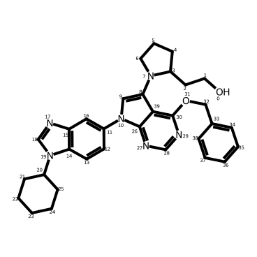 OCCC1CCCN1c1cn(-c2ccc3c(c2)ncn3C2CCCCC2)c2ncnc(OCc3ccccc3)c12